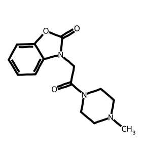 CN1CCN(C(=O)Cn2c(=O)oc3ccccc32)CC1